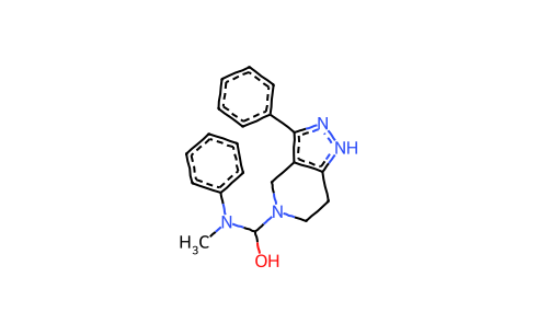 CN(c1ccccc1)C(O)N1CCc2[nH]nc(-c3ccccc3)c2C1